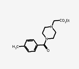 CCOC(=O)CN1CCN(C(=O)c2ccc(C)cc2)CC1